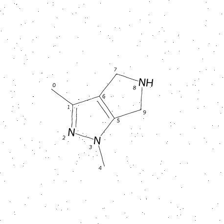 Cc1nn(C)c2c1CNC2